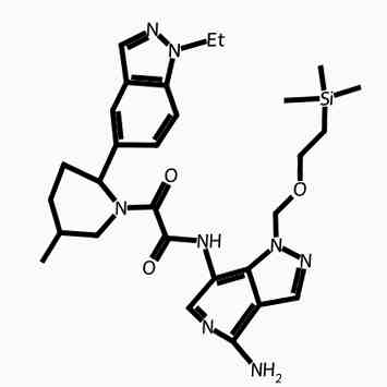 CCn1ncc2cc(C3CCC(C)CN3C(=O)C(=O)Nc3cnc(N)c4cnn(COCC[Si](C)(C)C)c34)ccc21